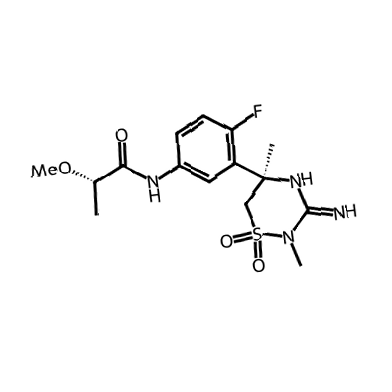 CO[C@@H](C)C(=O)Nc1ccc(F)c([C@]2(C)CS(=O)(=O)N(C)C(=N)N2)c1